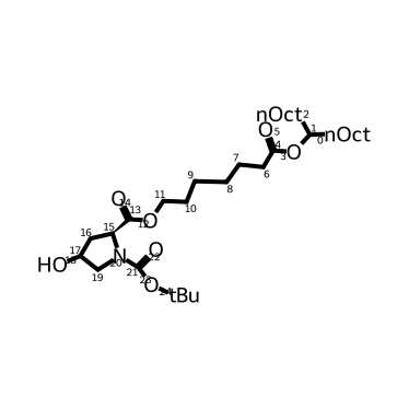 CCCCCCCCC(CCCCCCCC)OC(=O)CCCCCCOC(=O)[C@@H]1CC(O)CN1C(=O)OC(C)(C)C